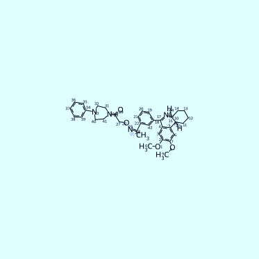 COc1cc2c(cc1OC)[C@H]1CCCC[C@H]1N=C2c1cccc(/C(C)=N\OCC(=O)N2CCN(c3ccccc3)CC2)c1